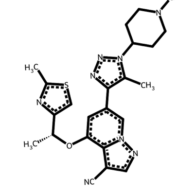 Cc1nc([C@@H](C)Oc2cc(-c3nnn(C4CCN(C#N)CC4)c3C)cn3ncc(C#N)c23)cs1